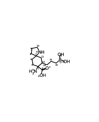 NC1(C(=O)O)CCC2(CCCN2)CC1CCCB(O)O